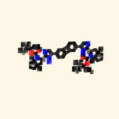 CC(C)(C)OC(=O)N1[C@H](c2ncc(-c3ccc4c(c3)-c3ccc(-c5cnc([C@@H]6C[C@@H]7CCC[C@@H]7N6C(=O)OC(C)(C)C)[nH]5)cc3-4)[nH]2)C[C@@H]2CCC[C@@H]21